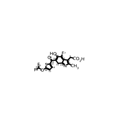 CC1=C(CC(=O)O)C2=C(F)C(O)=C(C(=O)c3ccc(OC(F)F)s3)CC2=N1